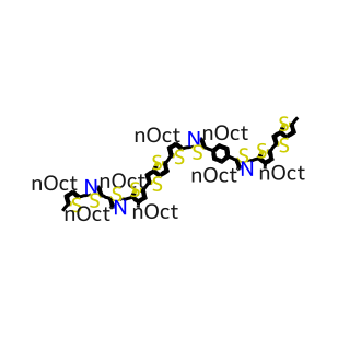 CCCCCCCCc1cc(C)sc1-c1nc(CCCCCCCC)c(-c2sc(-c3sc(-c4cc5sc(-c6cc(CCCCCCCC)c(-c7nc(CCCCCCCC)c(-c8ccc(-c9sc(-c%10sc(-c%11cc%12sc(C)cc%12s%11)cc%10CCCCCCCC)nc9CCCCCCCC)cc8)s7)s6)cc5s4)cc3CCCCCCCC)nc2CCCCCCCC)s1